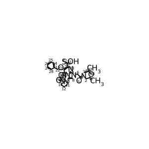 CC1CN(C(=O)Cn2cc(N3CCCS3(=O)=O)n3c(=O)c(OCc4ccccc4)c(C(O)=S)nc23)CC(C)O1